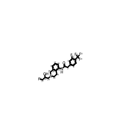 O=C(Cc1ccc(C(F)(F)F)c(F)c1)Nc1cccc2c1CCN(CC(O)CF)C2